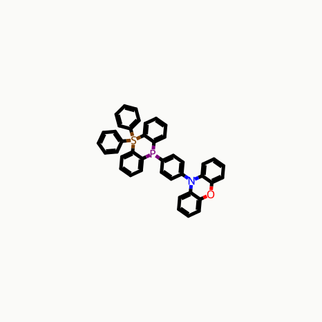 c1ccc(S2(c3ccccc3)c3ccccc3P(c3ccc(N4c5ccccc5Oc5ccccc54)cc3)c3ccccc32)cc1